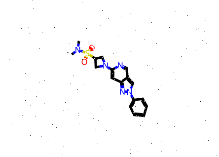 CN(C)S(=O)(=O)C1CN(c2cc3nn(-c4ccccc4)cc3cn2)C1